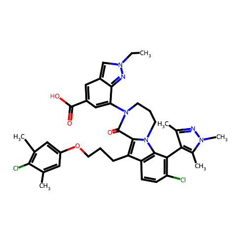 CCn1cc2cc(C(=O)O)cc(N3CCCn4c(c(CCCOc5cc(C)c(Cl)c(C)c5)c5ccc(Cl)c(-c6c(C)nn(C)c6C)c54)C3=O)c2n1